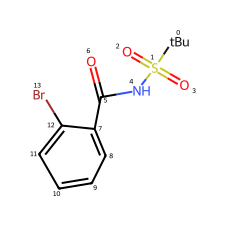 CC(C)(C)S(=O)(=O)NC(=O)c1ccccc1Br